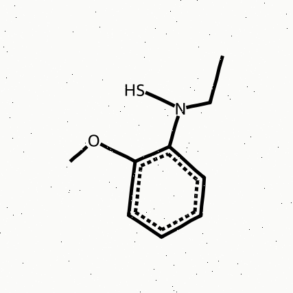 CCN(S)c1ccccc1OC